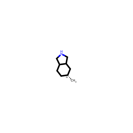 C[C@@H]1CCC2CNCC2C1